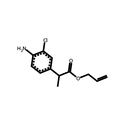 C=CCOC(=O)C(C)c1ccc(N)c(Cl)c1